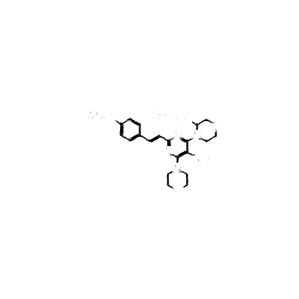 CCOC(=O)C1CSCCN1c1nc(/C=C/c2ccc(OC)cc2)nc(N2CCOCC2)c1N